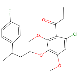 CCC(=O)c1c(Cl)cc(OC)c(OCCC(C)c2ccc(F)cc2)c1OC